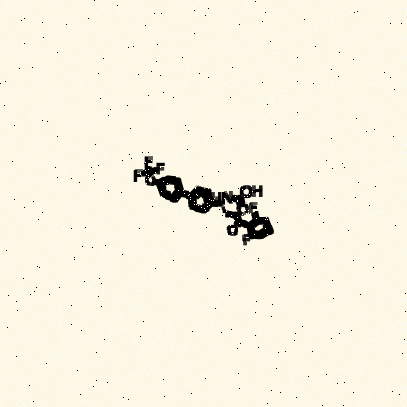 O=C(O)N[C@H](CCC(=O)c1c(F)cccc1F)c1ccc(-c2ccc(OC(F)(F)F)cc2)cc1